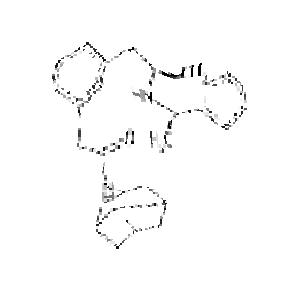 C[C@H](Cc1cccc(CC(=O)NC23CC4CC(CC(C4)C2)C3)c1)N[C@H](C)c1ccccc1